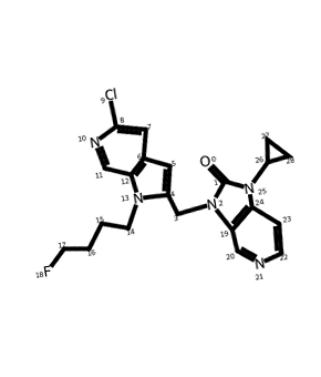 O=c1n(Cc2cc3cc(Cl)ncc3n2CCCCF)c2cnccc2n1C1CC1